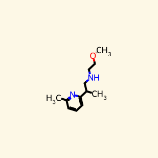 COCCNCC(C)c1cccc(C)n1